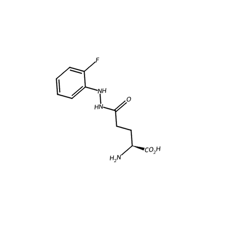 N[C@@H](CCC(=O)NNc1ccccc1F)C(=O)O